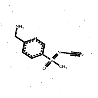 CS(=O)(=NC#N)c1ccc(CN)nc1